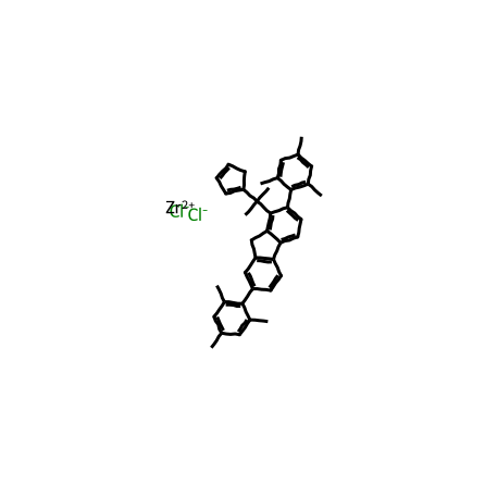 Cc1cc(C)c(-c2ccc3c(c2)Cc2c-3ccc(-c3c(C)cc(C)cc3C)c2C(C)(C)C2=CC=CC2)c(C)c1.[Cl-].[Cl-].[Zr+2]